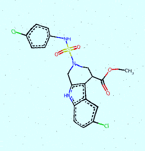 COC(=O)C1CN(S(=O)(=O)Nc2ccc(Cl)cc2)Cc2[nH]c3ccc(Cl)cc3c21